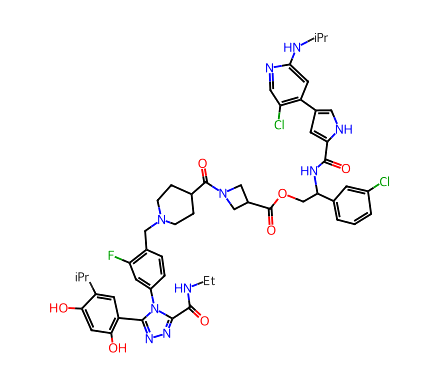 CCNC(=O)c1nnc(-c2cc(C(C)C)c(O)cc2O)n1-c1ccc(CN2CCC(C(=O)N3CC(C(=O)OCC(NC(=O)c4cc(-c5cc(NC(C)C)ncc5Cl)c[nH]4)c4cccc(Cl)c4)C3)CC2)c(F)c1